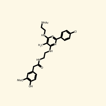 COc1cc(CC(=O)NCCNc2nc(-c3ccc(Cl)cc3)nc(NCCNC(C)=O)c2C)ccc1O